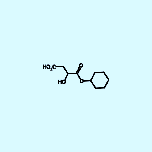 O=C(O)CC(O)C(=O)OC1CCCCC1